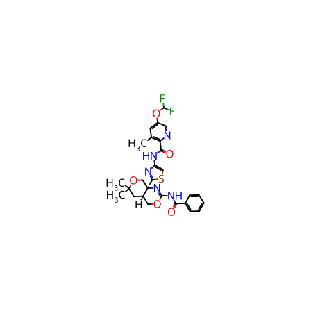 Cc1cc(OC(F)F)cnc1C(=O)Nc1csc([C@]23COC(C)(C)C[C@H]2COC(NC(=O)c2ccccc2)=N3)n1